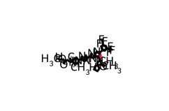 CCOC(=O)CCN1[C@H](C)CN(c2cnc(-c3nc4nc(-c5cc(C(F)(F)F)cc(C(F)(F)F)c5)cc(N(C)CC5(COC)CCCC5)c4[nH]3)cn2)C[C@@H]1C